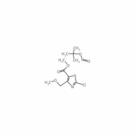 CC(C)(C)ON=O.COCc1nc(Cl)sc1C(=O)OC